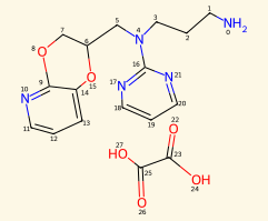 NCCCN(CC1COc2ncccc2O1)c1ncccn1.O=C(O)C(=O)O